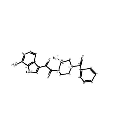 Bc1nccc2c(C(=O)C(=O)N3CCN(C(=O)c4ccccc4)C[C@H]3C)c[nH]c12